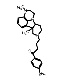 Bc1ccc(C(=O)CCCN2CCC3N4CCN(C)c5cccc(c54)C3(C)C2)cc1